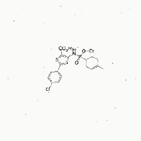 CCOP(=O)(Nc1cc(-c2ccc(Cl)cc2)sc1C(=O)O)C1CC=C(C)CC1